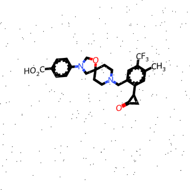 Cc1cc(C2CC2=O)c(CN2CCC3(CC2)CN(c2ccc(C(=O)O)cc2)CO3)cc1C(F)(F)F